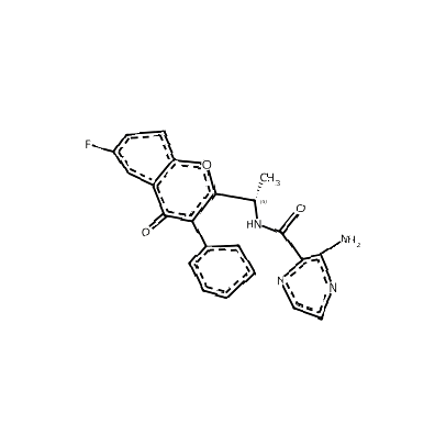 C[C@H](NC(=O)c1nccnc1N)c1oc2ccc(F)cc2c(=O)c1-c1ccccc1